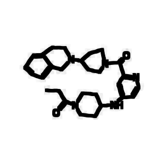 CCC(=O)N1CCC(Nc2ccnc(C(=O)N3CCC(N4CCc5ccccc5C4)CC3)c2)CC1